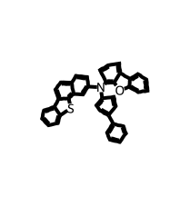 c1ccc(-c2ccc(N(c3ccc4ccc5c6ccccc6sc5c4c3)c3cccc4c3oc3ccccc34)cc2)cc1